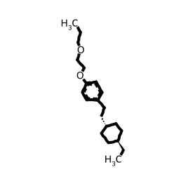 CCCOCCOc1ccc(CC[C@H]2CC[C@H](CC)CC2)cc1